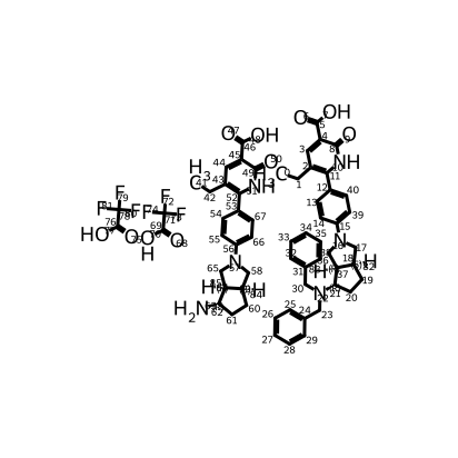 CCc1cc(C(=O)O)c(=O)[nH]c1-c1ccc(N2C[C@H]3CC[C@@H](N(Cc4ccccc4)Cc4ccccc4)[C@H]3C2)cc1.CCc1cc(C(=O)O)c(=O)[nH]c1-c1ccc(N2C[C@H]3CC[C@@H](N)[C@H]3C2)cc1.O=C(O)C(F)(F)F.O=C(O)C(F)(F)F